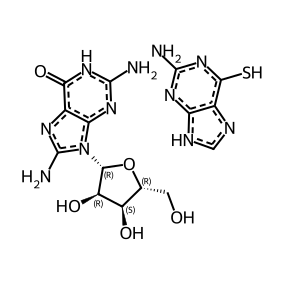 Nc1nc(S)c2nc[nH]c2n1.Nc1nc2c(nc(N)n2[C@@H]2O[C@H](CO)[C@@H](O)[C@H]2O)c(=O)[nH]1